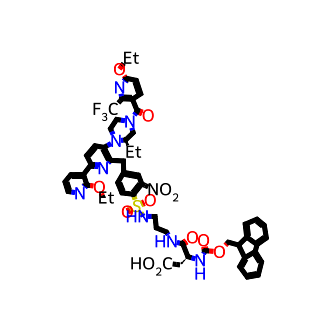 CCOc1ccc(C(=O)N2CCN(c3ccc(-c4cccnc4OCC)nc3Cc3ccc(S(=O)(=O)NCCCNC(=O)[C@@H](CC(=O)O)NC(=O)OCC4c5ccccc5-c5ccccc54)c([N+](=O)[O-])c3)[C@H](CC)C2)c(C(F)(F)F)n1